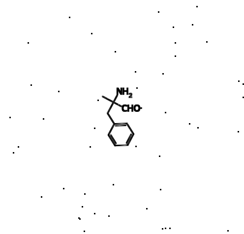 CC(N)([C]=O)Cc1ccccc1